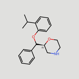 CC(C)c1ccccc1OC(c1ccccc1)[C@@H]1CNCCO1